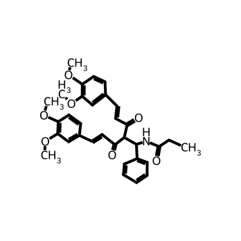 CCC(=O)NC(c1ccccc1)C(C(=O)C=Cc1ccc(OC)c(OC)c1)C(=O)C=Cc1ccc(OC)c(OC)c1